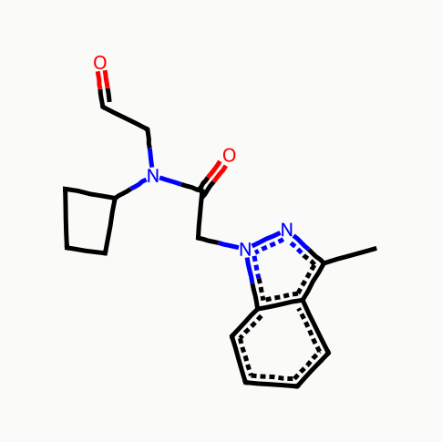 Cc1nn(CC(=O)N(CC=O)C2CCC2)c2ccccc12